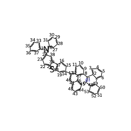 C(=C(/c1ccccc1)c1cccc2c(-c3ccc4c(c3)sc3ccc(N(c5ccccc5)c5ccccc5)cc34)cc3ccccc3c12)/c1ccccc1